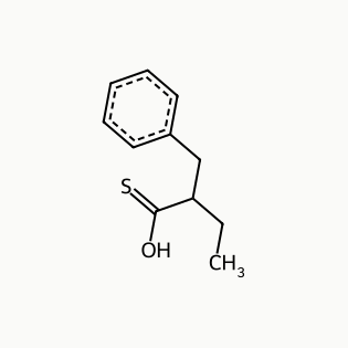 CCC(Cc1ccccc1)C(O)=S